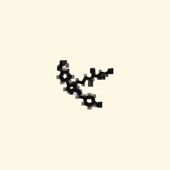 O=C(NCCCl)NCCCn1c(-c2ccc(OC(F)(F)F)cc2)cs/c1=N\Cc1ccc(Cl)cc1